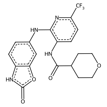 O=C(Nc1ccc(C(F)(F)F)nc1Nc1ccc2[nH]c(=O)oc2c1)C1CCOCC1